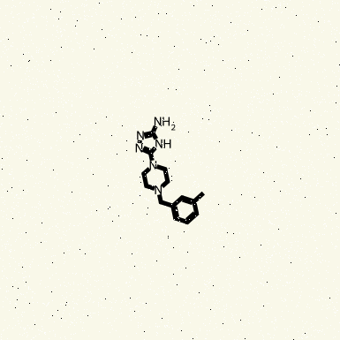 Cc1cccc(CN2CCN(c3nnc(N)[nH]3)CC2)c1